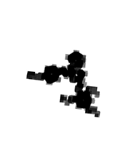 COc1ccc(CC[C@]2(Cn3ccnc3)OC[C@H](COc3c(C)cc(N)cc3C)O2)cc1